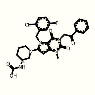 Cn1c(=O)n(CC(=O)c2ccccc2)c(=O)c2c1cc(N1CCC[C@@H](NC(=O)O)C1)n2Cc1cc(F)ccc1Cl